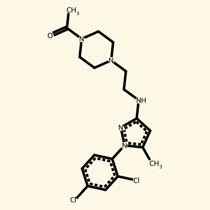 CC(=O)N1CCN(CCNc2cc(C)n(-c3ccc(Cl)cc3Cl)n2)CC1